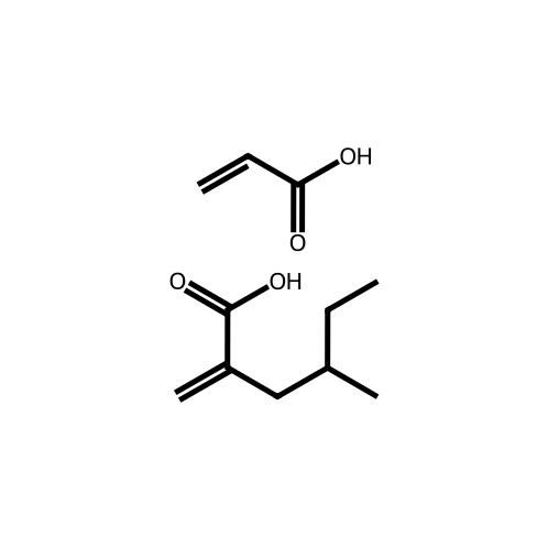 C=C(CC(C)CC)C(=O)O.C=CC(=O)O